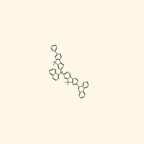 CC1(C)c2cc(-c3ccccc3)ccc2-c2ccc(N(c3ccc4c(c3)C(C)(C)c3cc(-c5cc6ccccc6c6ccccc56)ccc3-4)c3cccc4ccccc34)cc21